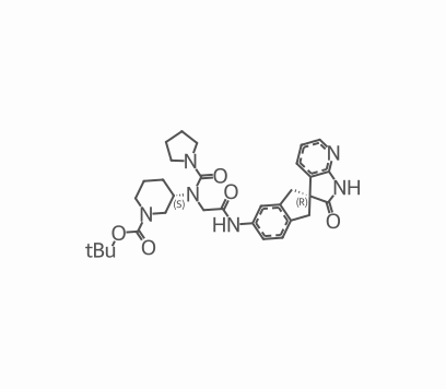 CC(C)(C)OC(=O)N1CCC[C@H](N(CC(=O)Nc2ccc3c(c2)C[C@@]2(C3)C(=O)Nc3ncccc32)C(=O)N2CCCC2)C1